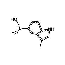 Cc1c[nH]c2ccc(B(O)O)cc12